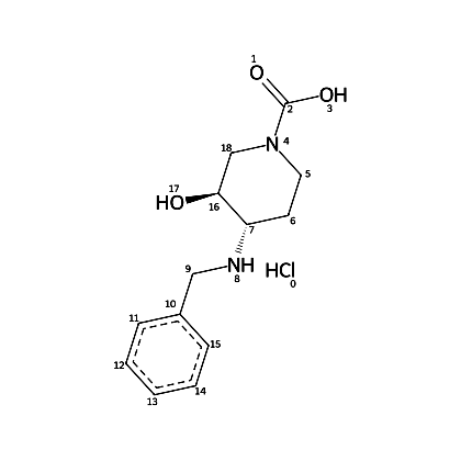 Cl.O=C(O)N1CC[C@H](NCc2ccccc2)[C@@H](O)C1